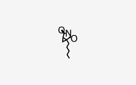 CCCCCC12CC1C(=O)N(C)C2=O